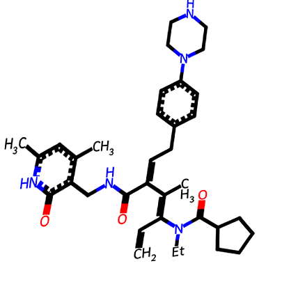 C=C/C(=C(C)\C(=C/Cc1ccc(N2CCNCC2)cc1)C(=O)NCc1c(C)cc(C)[nH]c1=O)N(CC)C(=O)C1CCCC1